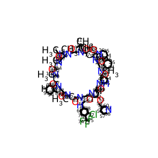 CC[C@H](C)[C@@H]1NC(=O)[C@H](CC(C)C)N(C)C(=O)C[C@@H](C(=O)N2CCCCC2)N(C)C(=O)[C@H](C2CCCCC2)N(C)C(=O)C2(CCCC2)NC(=O)[C@@H]2C[C@@H](OCc3cccnc3)CN2C(=O)[C@H](CCc2ccc(C(F)(F)F)c(Cl)c2)NC(=O)CN(C)C(=O)[C@H](CC2CCCCC2)N(C)C(=O)CN(C)C(=O)CN(C)C1=O